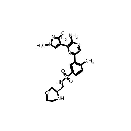 Cc1ccc(S(=O)(=O)NC[C@@H]2COCCN2)cc1-c1cnc(N)c(-c2cn(C)nc2C)n1